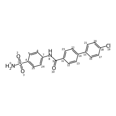 NS(=O)(=O)c1ccc(NC(=O)c2ccc(-c3ccc(Cl)cc3)cc2)cc1